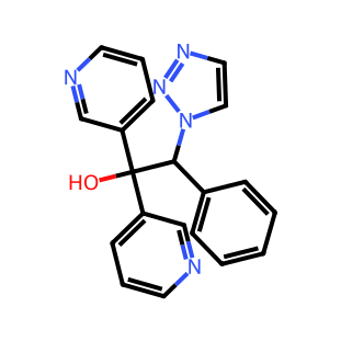 OC(c1cccnc1)(c1cccnc1)C(c1ccccc1)n1ccnn1